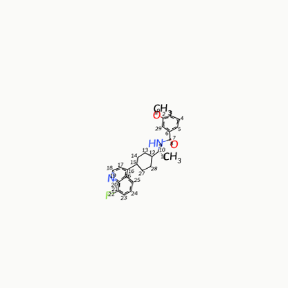 COc1cccc(C(=O)N[C@H](C)C2CCC(c3ccnc4c(F)cccc34)CC2)c1